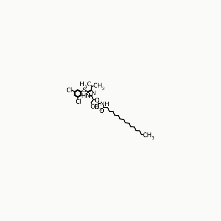 CCCCCCCCCCCCCCCC(=O)NC(=O)OC(CC)c1nc(C(C)C)c(Sc2cc(Cl)cc(Cl)c2)[nH]1